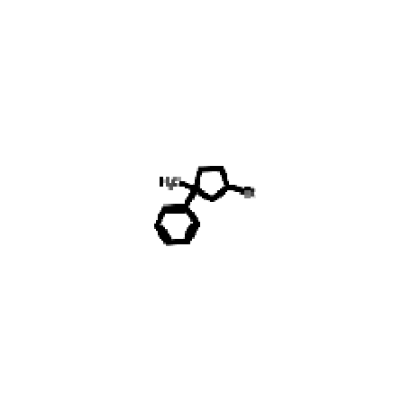 [CH2]CC1C[CH]C(C)(c2ccccc2)C1